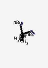 CCCC/C=C\C/C=C\CCCCCCCCC1(CCCCCCCC/C=C\C/C=C\CCCC)O[C@H]2C[C@@H](CN(C)C)C[C@H]2O1